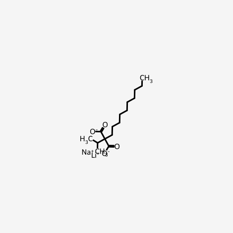 CCCCCCCCCCC(C(=O)[O-])(C(=O)[O-])C(C)C.[Li+].[Na+]